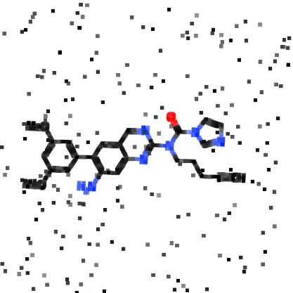 C#CCCCN(C(=O)n1ccnc1)c1ncc2cc(-c3cc(OC)cc(OC)c3)c(N)cc2n1